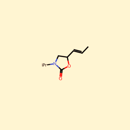 CC=CC1CN(C(C)C)C(=O)O1